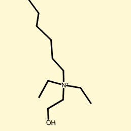 CCCCCC[N+](CC)(CC)CCO